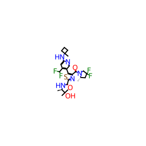 C[C@H]1CC(F)(F)CN1C(=O)c1nc(C(=O)N[C@H](C)C(C)(C)O)sc1-c1cnc(NC2(C)CCC2)cc1C(F)F